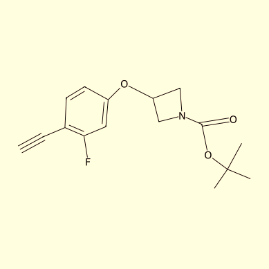 C#Cc1ccc(OC2CN(C(=O)OC(C)(C)C)C2)cc1F